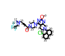 COc1nc2c(c(N3CCN(C(=O)C#CCN(C)CC(F)(F)F)CC3)n1)CCN(c1cccc3cccc(Cl)c13)C2